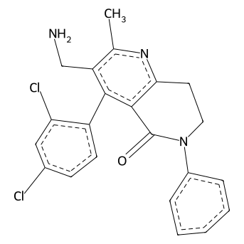 Cc1nc2c(c(-c3ccc(Cl)cc3Cl)c1CN)C(=O)N(c1ccccc1)CC2